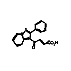 O=C(O)C=CC(=O)c1c(-c2ccccc2)nn2ccccc12